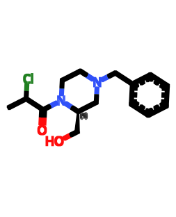 CC(Cl)C(=O)N1CCN(Cc2ccccc2)C[C@H]1CO